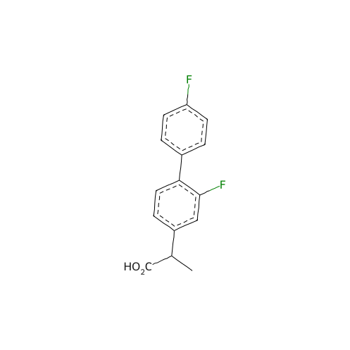 CC(C(=O)O)c1ccc(-c2ccc(F)cc2)c(F)c1